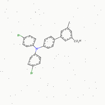 Cc1cc(C(=O)O)cc(-c2ccc(N(c3ccc(Br)cc3)c3ccc(Br)cc3)cc2)c1